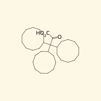 O=C(O)C(=O)C(C1CCCCCCCCC1)(C1CCCCCCCCC1)C1CCCCCCCCC1